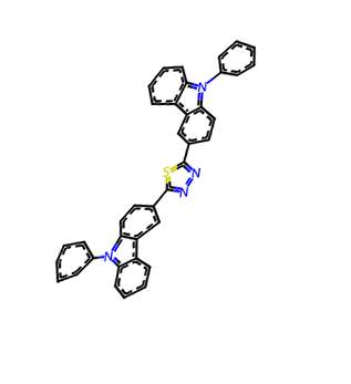 c1ccc(-n2c3ccccc3c3cc(-c4nnc(-c5ccc6c(c5)c5ccccc5n6-c5ccccc5)s4)ccc32)cc1